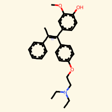 CCN(CC)CCOc1ccc(/C(=C(/C)c2ccccc2)c2ccc(O)c(OC)c2)cc1